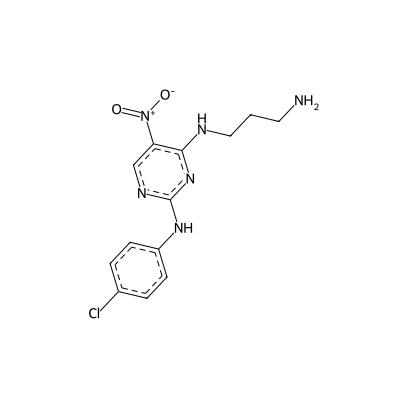 NCCCNc1nc(Nc2ccc(Cl)cc2)ncc1[N+](=O)[O-]